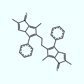 CC1=[C]C2C(=C(C)C(CCC3=C(c4ccccc4)C4[C]=C(C)C(=S)C4=C3C)=C2c2ccccc2)C1=S